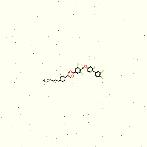 CCCCCC1CCC(C2COC(c3cc(F)c(C(F)(F)Oc4ccc(-c5ccc(Cl)c(F)c5)c(F)c4)c(F)c3)OC2)CC1